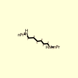 [CH2]CCNCCCCCCNCC[CH2]